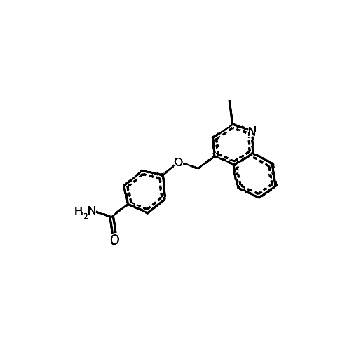 Cc1cc(COc2ccc(C(N)=O)cc2)c2ccccc2n1